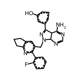 NC1=NC=NC2C1C(c1cccc(O)c1)=NN2Cc1cc2c(nc1-c1ccccc1F)CCC2